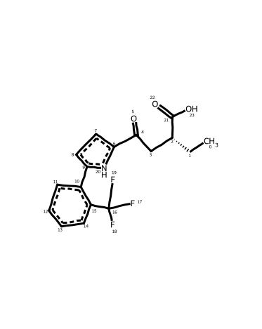 CC[C@H](CC(=O)c1ccc(-c2ccccc2C(F)(F)F)[nH]1)C(=O)O